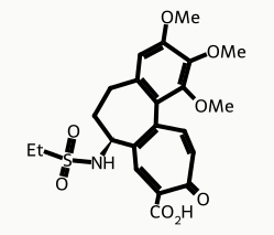 CCS(=O)(=O)N[C@H]1CCc2cc(OC)c(OC)c(OC)c2-c2ccc(=O)c(C(=O)O)cc21